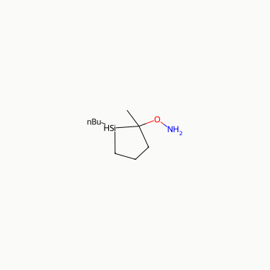 CCCC[SiH]1CCCC1(C)ON